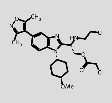 CO[C@H]1CC[C@H](n2c([C@@H](COC(=O)CCl)NCCCl)nc3cc(-c4c(C)noc4C)ccc32)CC1